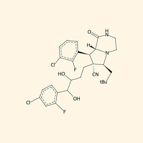 CC(C)(C)C[C@@H]1N2CCNC(=O)[C@H]2[C@H](c2cccc(Cl)c2F)[C@]1(C#N)CCC(O)C(O)c1ccc(Cl)cc1F